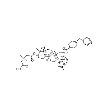 C=C(C)[C@@H]1CC[C@]2(CC(=O)N3CCN(Cc4ccncc4)CC3)CC[C@]3(C)[C@H](CC[C@@H]4[C@@]5(C)CC[C@H](OC(=O)CC(C)(C)CC(=O)O)C(C)(C)[C@@H]5CC[C@]43C)[C@@H]12